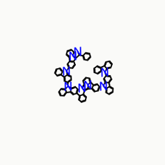 C1=CC2=NC(c3ccccc3)C3c4ccc(-n5c6ccccc6c6cc(-n7c8ccccc8c8cc(-c9ccccc9-c9nc%10cccc%11c%12cc(-n%13c%14ccccc%14c%14ccc(-n%15c%16ccccc%16c%16ccccc%16%15)cc%14%13)ccc%12c9n%10%11)ccc87)ccc65)cc4C(=C1)N23